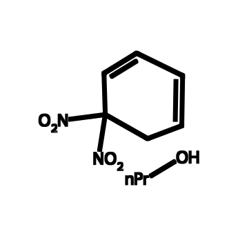 CCCO.O=[N+]([O-])C1([N+](=O)[O-])C=CC=CC1